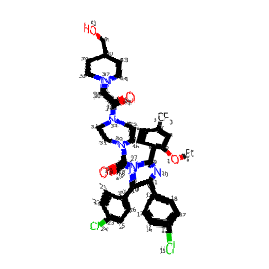 CCOc1cc(C(F)(F)F)ccc1C1=NC(c2ccc(Cl)cc2)C(c2ccc(Cl)cc2)N1C(=O)N1CCN(C(=O)CN2CCC(CO)CC2)CC1